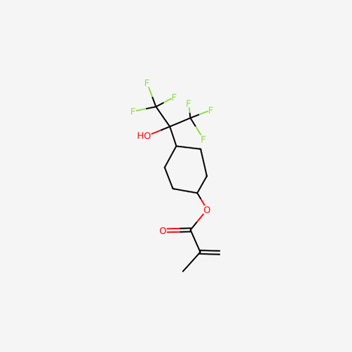 C=C(C)C(=O)OC1CCC(C(O)(C(F)(F)F)C(F)(F)F)CC1